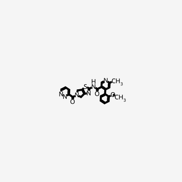 COc1ccccc1-c1cc(C)ncc1C(=O)Nc1nc2c(s1)CN(C(=O)c1cccnn1)C2